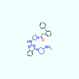 NC1CCCN(c2nc(NC3CCN(C(=O)Cc4ccccc4-c4ccccc4)C3)nc3ccccc23)C1